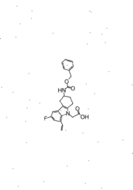 C=Cc1cc(F)cc2c3c(n(CC(=O)O)c12)CCC(NC(=O)OCc1ccccc1)C3